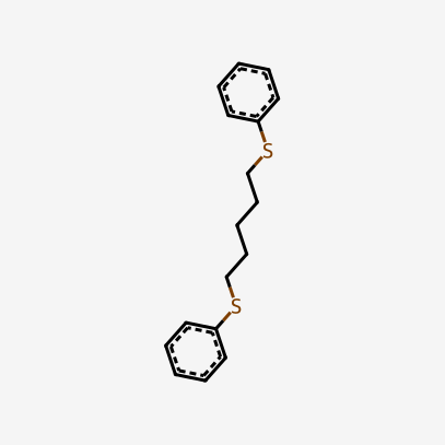 c1ccc(SCCCCCSc2ccccc2)cc1